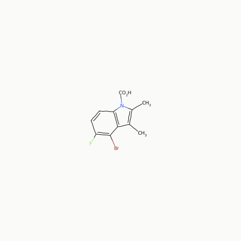 Cc1c(C)n(C(=O)O)c2ccc(F)c(Br)c12